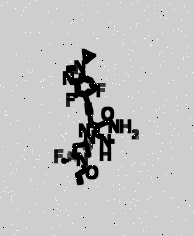 C=CC(=O)N1C[C@@H](n2nc(C#Cc3c(F)cc4c(ncn4C4CC4)c3F)c(C(N)=O)c2NC)C[C@H]1CF